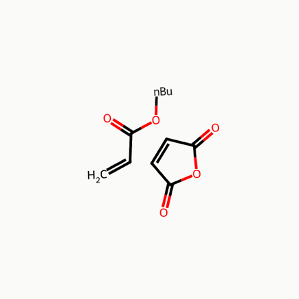 C=CC(=O)OCCCC.O=C1C=CC(=O)O1